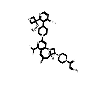 C=CC(=O)N1CCN([C@@H]2CN3c4cc(N5CCC(c6c(C)ccnc6C6(OC)COC6)CC5)nc(C(F)F)c4C=C(F)C[C@@H]23)CC1